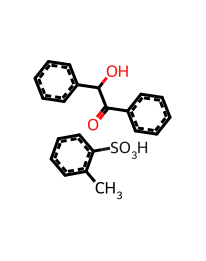 Cc1ccccc1S(=O)(=O)O.O=C(c1ccccc1)C(O)c1ccccc1